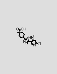 CNc1cc(Cl)ncc1-c1nnc(C2CCC(C)(C(=O)O)CC2)s1